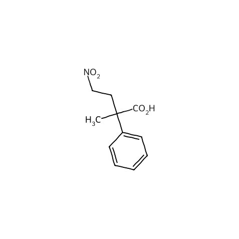 CC(CC[N+](=O)[O-])(C(=O)O)c1ccccc1